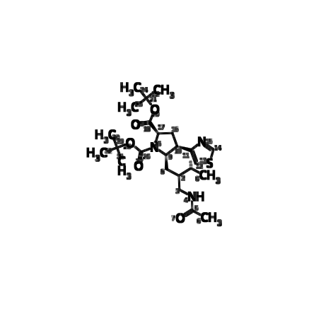 CCC(CNC(C)=O)C[C@@H]1[C@H](c2cscn2)C[C@H](C(=O)OC(C)(C)C)N1C(=O)OC(C)(C)C